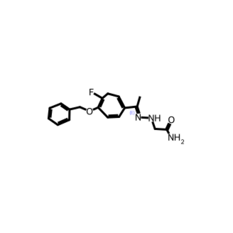 C/C(=N\NCC(N)=O)C1=CCC(F)=C(OCc2ccccc2)C=C1